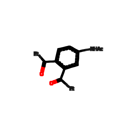 CCC(=O)c1ccc(NC(C)=O)cc1C(=O)CC